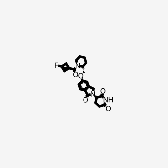 O=C1CCC(N2Cc3cc(OC[C@H]4CCCCN4C(=O)C45CC(F)(C4)C5)ccc3C2=O)C(=O)N1